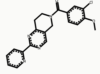 COc1ccc(C(=O)N2CCc3nc(-c4ccccn4)ncc3C2)cc1Cl